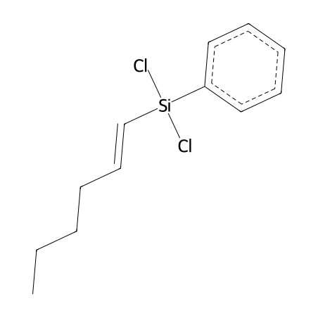 CCCCC=C[Si](Cl)(Cl)c1ccccc1